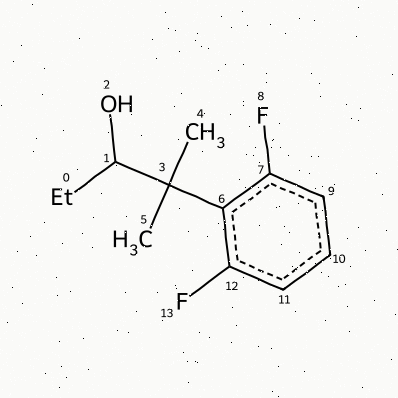 CCC(O)C(C)(C)c1c(F)cccc1F